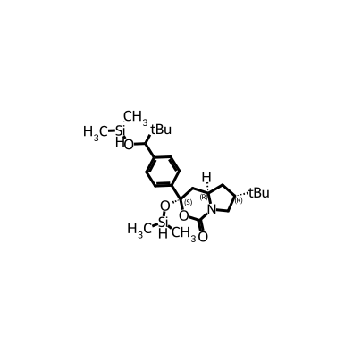 C[SiH](C)OC(c1ccc([C@@]2(O[SiH](C)C)C[C@H]3C[C@H](C(C)(C)C)CN3C(=O)O2)cc1)C(C)(C)C